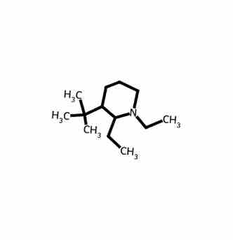 CCC1C(C(C)(C)C)CCCN1CC